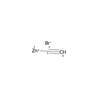 C#[C][Zn+].[Br-]